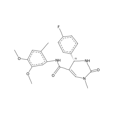 COc1cc(C)c(NC(=O)C2=CN(C)C(=O)N[C@H]2c2ccc(F)cc2)cc1OC